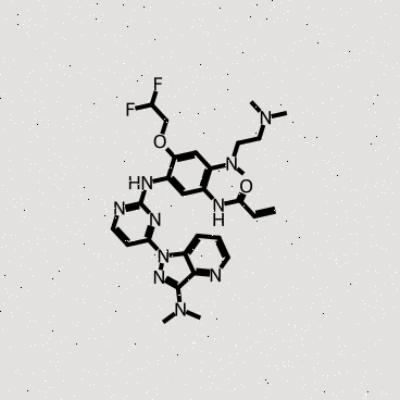 C=CC(=O)Nc1cc(Nc2nccc(-n3nc(N(C)C)c4ncccc43)n2)c(OCC(F)F)cc1N(C)CCN(C)C